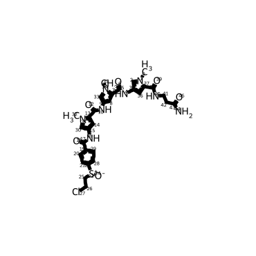 Cn1cc(NC(=O)c2cc(NC(=O)c3cc(NC(=O)c4ccc([S+]([O-])CCCl)cc4)cn3C)cn2C)cc1C(=O)NCCC(N)=O